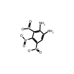 Nc1cc([N+](=O)[O-])c([N+](=O)[O-])c([N+](=O)[O-])c1N